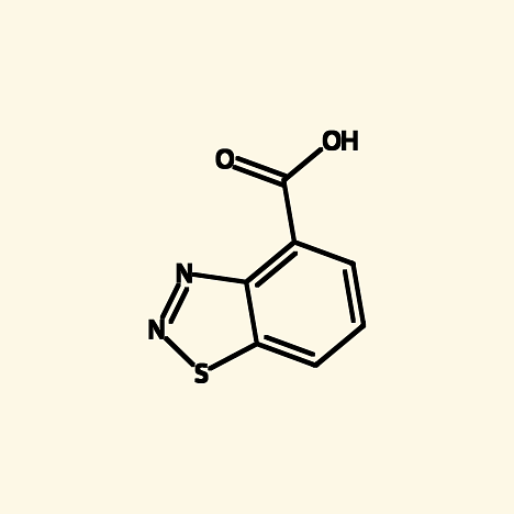 O=C(O)c1cccc2snnc12